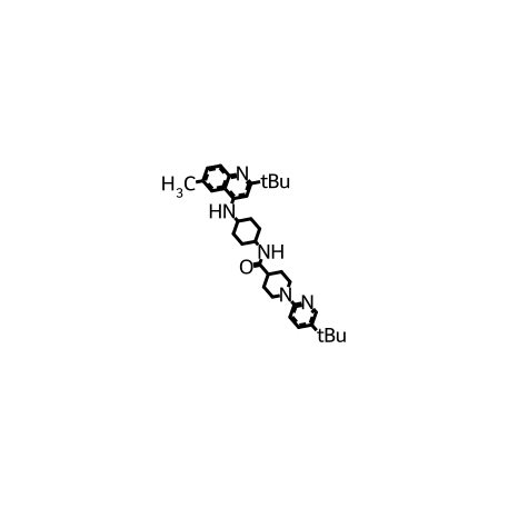 Cc1ccc2nc(C(C)(C)C)cc(NC3CCC(NC(=O)C4CCN(c5ccc(C(C)(C)C)cn5)CC4)CC3)c2c1